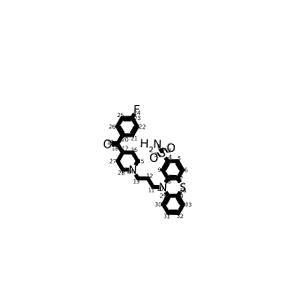 NS(=O)(=O)c1ccc2c(c1)N(CCCN1CCC(C(=O)c3ccc(F)cc3)CC1)c1ccccc1S2